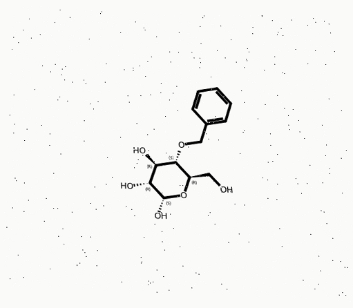 OC[C@H]1O[C@H](O)[C@H](O)[C@@H](O)[C@@H]1OCc1ccccc1